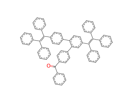 O=C(c1ccccc1)c1ccc(-c2cc(C(=C(c3ccccc3)c3ccccc3)c3ccccc3)ccc2-c2ccc(C(=C(c3ccccc3)c3ccccc3)c3ccccc3)cc2)cc1